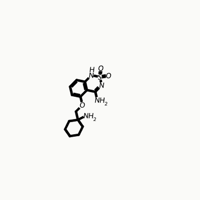 NC1=NS(=O)(=O)Nc2cccc(OCC3(N)CCCCC3)c21